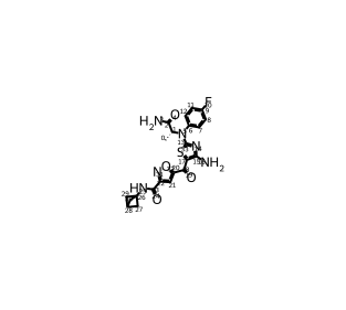 C[C@H](C(N)=O)N(c1ccc(F)cc1)c1nc(N)c(C(=O)c2cc(C(=O)NC34CC(C3)C4)no2)s1